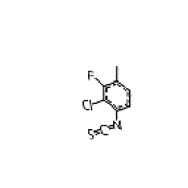 Cc1ccc(N=C=S)c(Cl)c1F